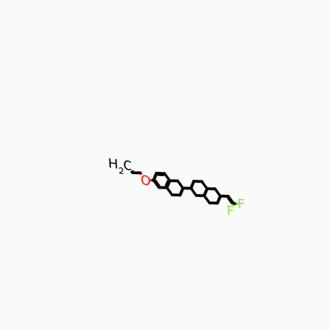 C=CCOc1ccc2c(c1)CCC(C1CCC3CC(C=C(F)F)CCC3C1)C2